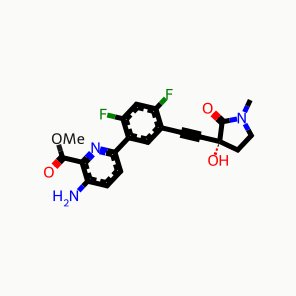 COC(=O)c1nc(-c2cc(C#C[C@]3(O)CCN(C)C3=O)c(F)cc2F)ccc1N